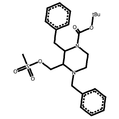 CC(C)(C)OC(=O)N1CCN(Cc2ccccc2)C(COS(C)(=O)=O)C1Cc1ccccc1